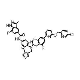 CCn1cncc1Cn1c(Cc2c(F)cc(-c3cccc(OCc4ccc(Cl)cn4)n3)cc2F)nc2cc(NC(=O)c3cc(F)c4[nH]nc(C)c4c3)ccc21